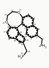 PCc1ccc2c3c(ccc2c1)OCCOc1ccc2cc(CP)ccc2c1-3